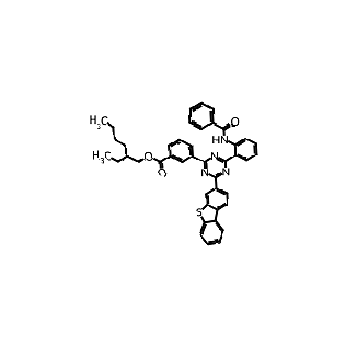 CCCCC(CC)COC(=O)c1cccc(-c2nc(-c3ccc4c(c3)sc3ccccc34)nc(-c3ccccc3NC(=O)c3ccccc3)n2)c1